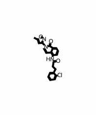 Cc1cc(-n2ccc3c(NC(=O)CCc4ccccc4Cl)cccc3c2=O)no1